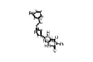 CC(C)n1c(=O)[nH]c2nc(-c3cnn(CCc4cccc(F)c4)c3)[nH]c2c1=O